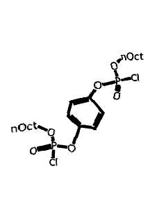 CCCCCCCCOP(=O)(Cl)Oc1ccc(OP(=O)(Cl)OCCCCCCCC)cc1